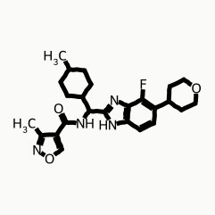 Cc1nocc1C(=O)NC(c1nc2c(F)c(C3CCOCC3)ccc2[nH]1)C1CCC(C)CC1